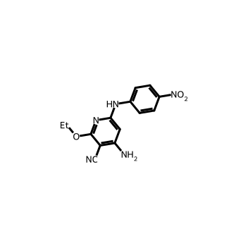 CCOc1nc(Nc2ccc([N+](=O)[O-])cc2)cc(N)c1C#N